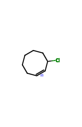 ClC1/C=C\CCCCC1